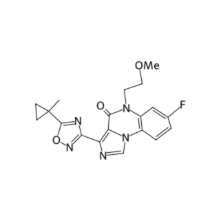 COCCn1c(=O)c2c(-c3noc(C4(C)CC4)n3)ncn2c2ccc(F)cc21